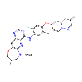 C=C1C=NN2C=CC(Oc3cc(F)c(Nc4ncnc5cc6c(nc45)N(CCCCC)CC(C)CO6)cc3C)=CC2C1